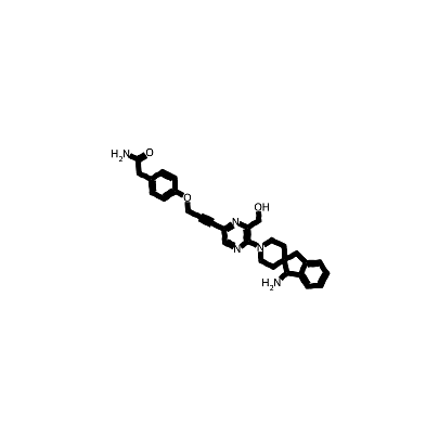 NC(=O)Cc1ccc(OCC#Cc2cnc(N3CCC4(CC3)Cc3ccccc3C4N)c(CO)n2)cc1